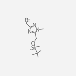 Cn1nc(CBr)nc1CO[Si](C)(C)C(C)(C)C